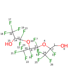 OCC(F)(OC(F)(F)C(F)(OC(F)(F)C(O)C(F)(F)F)C(F)(F)F)C(F)(F)F